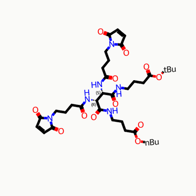 CCCCOC(=O)CCCNC(=O)[C@H](NC(=O)CCCN1C(=O)C=CC1=O)[C@H](NC(=O)CCCN1C(=O)C=CC1=O)C(=O)NCCCC(=O)OC(C)(C)C